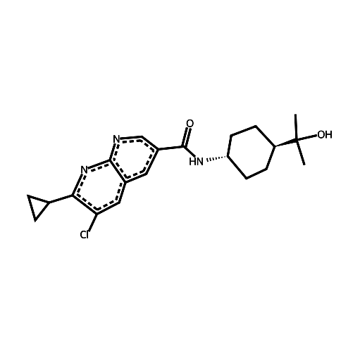 CC(C)(O)[C@H]1CC[C@H](NC(=O)c2cnc3nc(C4CC4)c(Cl)cc3c2)CC1